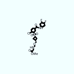 COC(=O)CNCOC[C@H]1C[C@H](S(=O)(=O)c2cc(C(=O)Nc3ccc(F)c(F)c3)ccc2Cl)C1